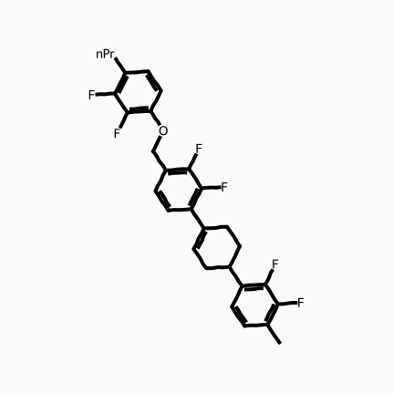 CCCc1ccc(OCc2ccc(C3=CCC(c4ccc(C)c(F)c4F)CC3)c(F)c2F)c(F)c1F